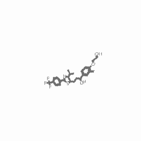 Cc1cc(C(O)CCC2SC(c3ccc(C(F)(F)F)cc3)=NC2C(C)C)ccc1OCCO